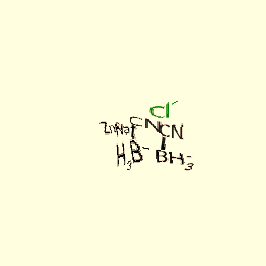 [BH3-]C#N.[BH3-]C#N.[Cl-].[Na+].[Zn+2]